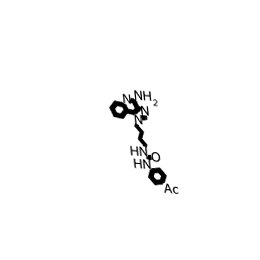 CC(=O)c1ccc(NC(=O)NCCCCn2cnc3c(N)nc4ccccc4c32)cc1